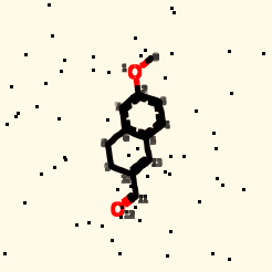 COc1ccc2c(c1)CCC(C=O)=C2